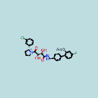 COc1cc(F)ccc1-c1ccc(CNC(=O)[C@H](O)[C@@H](O)C(=O)N2CCC[C@@H]2c2cccc(Cl)c2)cc1